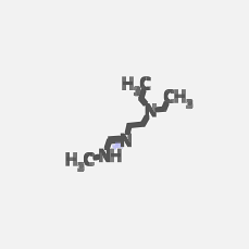 CCN(CC)CC/N=C/NC